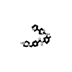 Cc1ccc(NC(=O)c2ccc(CN3CCNCC3)cc2)cc1Nc1ncc(-c2cccnc2)cn1